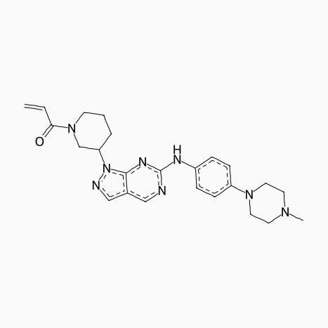 C=CC(=O)N1CCCC(n2ncc3cnc(Nc4ccc(N5CCN(C)CC5)cc4)nc32)C1